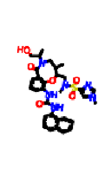 CC1CN(C(C)CO)C(=O)c2cccc(NC(=O)Nc3cccc4ccccc34)c2OC1CN(C)S(=O)(=O)c1cn(C)cn1